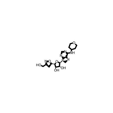 OCc1cc([C@H]2O[C@@H](n3cnc4c(NC5CCOCC5)ncnc43)[C@H](O)[C@@H]2O)on1